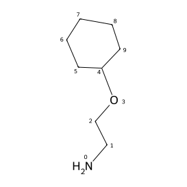 NCCOC1CCCCC1